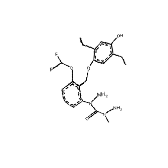 CCc1cc(OCc2c(OC(F)F)cccc2N(N)C(=O)N(C)N)c(CC)cc1O